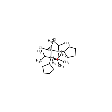 CC(C)[PH](C(C)C)(C1CCCC1)[PH]1([PH](C(C)C)(C(C)C)C2CCCC2)C(Cl)=C1Cl